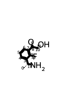 C[C@@H](N)c1cccc(C(=O)CO)c1F